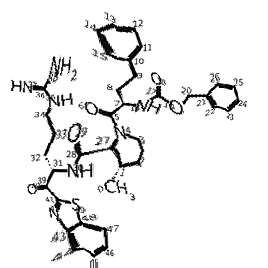 C[C@H]1CCN(C(=O)[C@@H](CCc2ccccc2)NC(=O)OCc2ccccc2)[C@@H]1C(=O)N[C@@H](CCCNC(=N)N)C(=O)c1nc2ccccc2s1